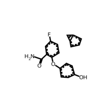 NC(=O)c1cc(F)ccc1Oc1ccc(O)cc1.c1cc2cc-2c1